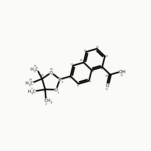 CC1(C)OB(c2ccc3c(C(=O)O)cccc3c2)OC1(C)C